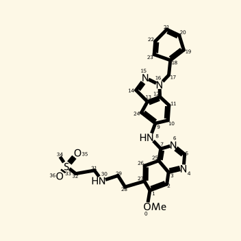 COc1cc2ncnc(Nc3ccc4c(cnn4Cc4ccccc4)c3)c2cc1CCNCCS(C)(=O)=O